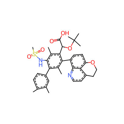 Cc1ccc(-c2c(C)c(-c3ccc4c5c(ccnc35)CCO4)c(C(OC(C)(C)C)C(=O)O)c(C)c2NS(C)(=O)=O)cc1C